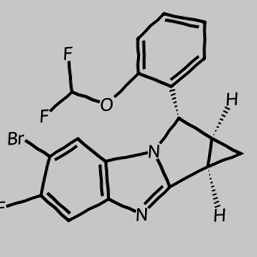 Fc1cc2nc3n(c2cc1Br)[C@H](c1ccccc1OC(F)F)[C@H]1C[C@@H]31